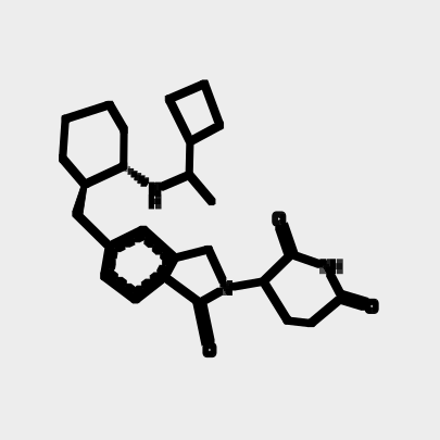 CC(N[C@H]1CCCC[C@@H]1Cc1ccc2c(c1)CN(C1CCC(=O)NC1=O)C2=O)C1CCC1